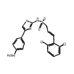 CC(=O)Nc1ccc(-c2csc(NS(=O)(=O)CC=Cc3c(Cl)cccc3Cl)n2)cc1